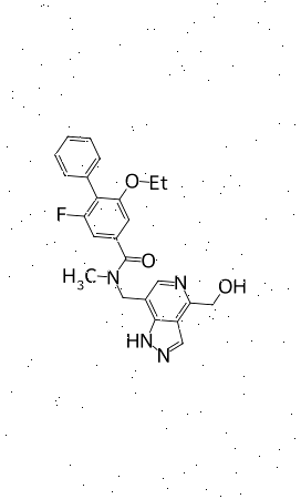 CCOc1cc(C(=O)N(C)Cc2cnc(CO)c3cn[nH]c23)cc(F)c1-c1ccccc1